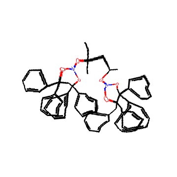 CC(CC(C)(C)ON1OC(c2ccccc2)(c2ccccc2)C(c2ccccc2)(c2ccccc2)O1)ON1OC(c2ccccc2)(c2ccccc2)C(c2ccccc2)(c2ccccc2)O1